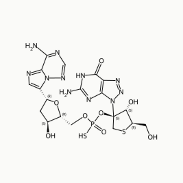 Nc1nc2c(nnn2[C@@]2(OP(=O)(S)OC[C@H]3O[C@@H](c4cnc5c(N)ncnn45)C[C@@H]3O)CS[C@H](CO)[C@H]2O)c(=O)[nH]1